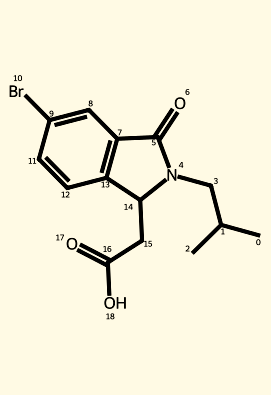 CC(C)CN1C(=O)c2cc(Br)ccc2C1CC(=O)O